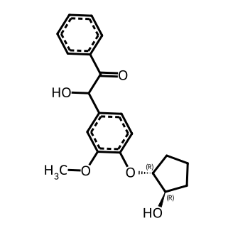 COc1cc(C(O)C(=O)c2ccccc2)ccc1O[C@@H]1CCC[C@H]1O